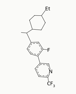 CCC1CCC(C(C)c2ccc(-c3ccc(C(F)(F)F)nc3)c(F)c2)CC1